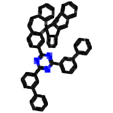 C1=Cc2ccc(-c3nc(-c4cccc(-c5ccccc5)c4)nc(-c4cccc(-c5ccccc5)c4)n3)cc2C2(c3ccccc31)c1ccccc1-c1cc3ccccc3cc12